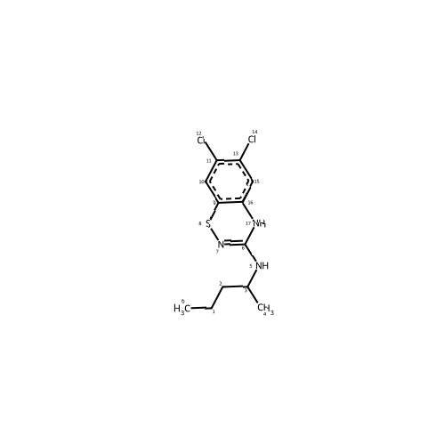 CCCC(C)NC1=NSc2cc(Cl)c(Cl)cc2N1